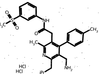 Cc1ccc(-c2c(CC(=O)Nc3cccc(S(C)(=O)=O)c3)c(C)nc(CC(C)C)c2CN)cc1.Cl.Cl